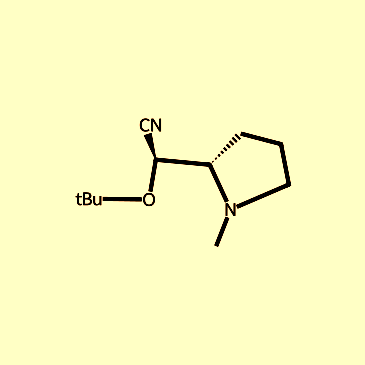 CN1CCC[C@H]1[C@H](C#N)OC(C)(C)C